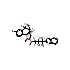 [2H]C([2H])(c1nc2ccccc2[nH]1)C([2H])([2H])C([2H])([2H])N(C)CC[C@]1(O)[C@@H](C(C)C)c2ccc(F)cc2C([2H])([2H])C1([2H])[2H]